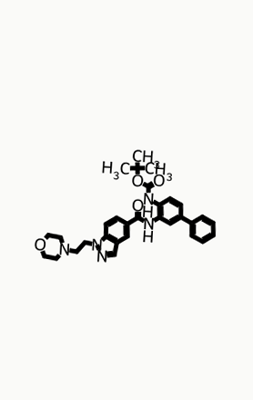 CC(C)(C)OC(=O)Nc1ccc(-c2ccccc2)cc1NC(=O)c1ccc2c(cnn2CCN2CCOCC2)c1